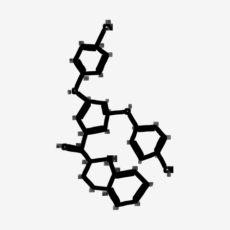 N#Cc1ccc(Oc2cc(Oc3ccc(C#N)cc3)cc(C(=O)C3CCc4ccccc4N3)c2)cc1